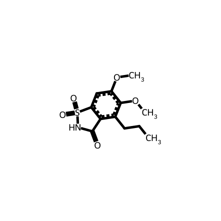 CCCc1c(OC)c(OC)cc2c1C(=O)NS2(=O)=O